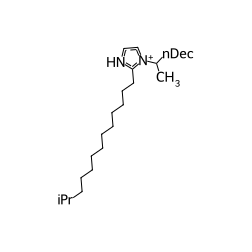 CCCCCCCCCCC(C)[n+]1cc[nH]c1CCCCCCCCCCCC(C)C